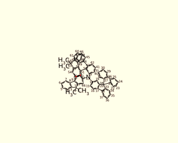 CC1(C)c2ccccc2-c2ccc(N(c3ccc4c(c3)C(c3ccccc3)(c3ccccc3)c3ccccc3-4)c3cccc(-c4ccccc4)c3-c3cccc4c3-c3ccccc3C4(C)C)cc21